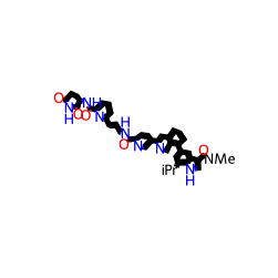 CNC(=O)c1c[nH]c2c(C(C)C)cc(-c3cccc4cc(-c5ccc(C(=O)NC/C=C/c6cccc(C(=O)NC7CCC(=O)NC7=O)n6)nc5)ncc34)cc12